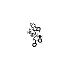 N=C(NC1N=C(c2ccccc2)c2ccccc2NC1=O)OC(=N)c1ncccc1N1CCOCC1